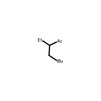 CCC(C)CC(CC)C(C)=O